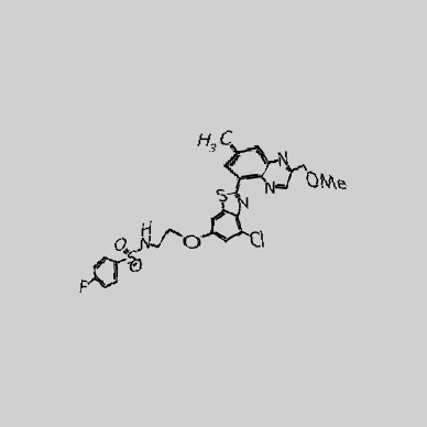 COCc1cnc2c(-c3nc4c(Cl)cc(OCCNS(=O)(=O)c5ccc(F)cc5)cc4s3)cc(C)cc2n1